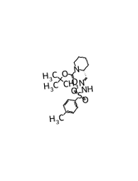 Cc1ccc(S(=O)(=O)NN=C[C@H]2CCCCN2C(=O)OC(C)(C)C)cc1